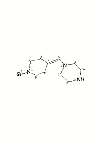 CC(C)N1CCC(=CN2CCNCC2)CC1